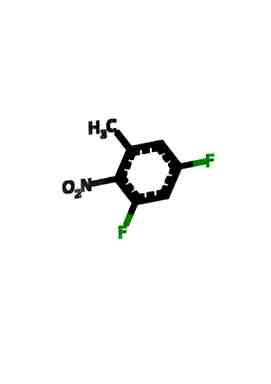 Cc1cc(F)cc(F)c1[N+](=O)[O-]